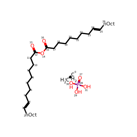 C=C.CCCCCCCCC=CCCCCCCCC(=O)OC(=O)CCCCCCCC=CCCCCCCCC.O=P(O)(O)O